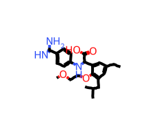 CCc1cc(CC(C)C)c(OCCOC)c(C(Nc2ccc(C(=N)N)cc2)C(=O)O)c1